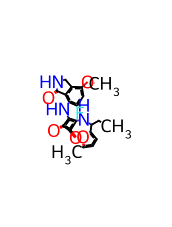 CCC(Nc1c(Nc2c(F)cc(OC)c3c2C(=O)NC3)c(=O)c1=O)c1ccc(C)o1